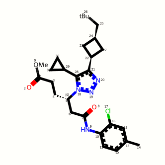 COC(=O)CC[C@@H](CC(=O)Nc1ccc(C)cc1Cl)n1nnc([C@H]2C[C@@H](CC(C)(C)C)C2)c1C1CC1